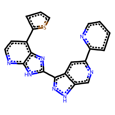 c1ccc(-c2cc3c(-c4nc5c(-c6cccs6)ccnc5[nH]4)n[nH]c3cn2)nc1